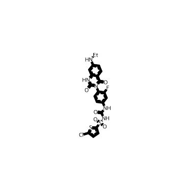 CCNc1ccc2c(=O)n(-c3ccc(NC(=O)NS(=O)(=O)c4ccc(Cl)s4)cc3F)c(=O)[nH]c2c1